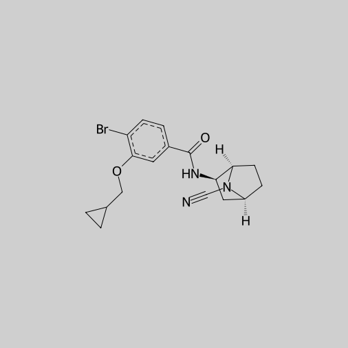 N#CN1[C@H]2CC[C@@H]1[C@H](NC(=O)c1ccc(Br)c(OCC3CC3)c1)C2